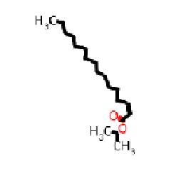 CCCCCCCCCCCCC/C=C\C(=O)OC(C)C